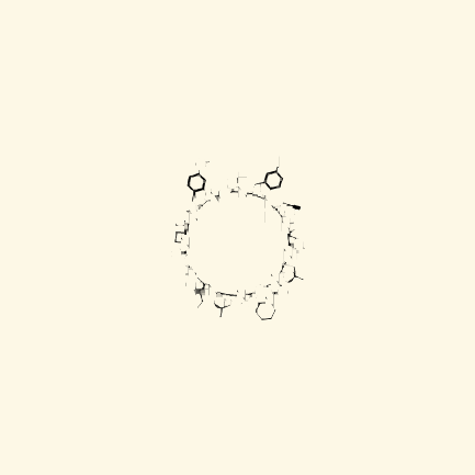 C#CC[C@@H]1NC(=O)[C@H](Cc2cccc(I)c2)NC(=O)CN(C)C(=O)[C@H](Cc2ccc(OC)cc2)N(C)C(=O)[C@@H]2CCN2C(=O)CN(C)C(=O)[C@H]([C@@H](C)CC)NC(=O)[C@H](CC(C)C)N(C)C(=O)C[C@@H](C(=O)N2CCCCC2)N(C)C(=O)[C@H](CC(C)C)NC(=O)C(C)(C)N(C)C1=O